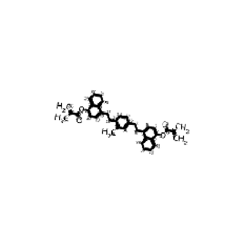 C=C(C)C(=O)Oc1ccc(CCc2ccc(CCc3ccc(OC(=O)C(=C)C)c4ccccc34)c(C)c2)c2ccccc12